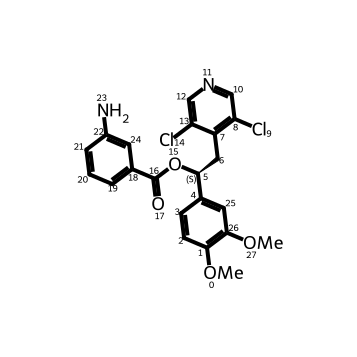 COc1ccc([C@H](Cc2c(Cl)cncc2Cl)OC(=O)c2cccc(N)c2)cc1OC